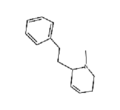 CN1CCC=CC1CCc1ccccc1